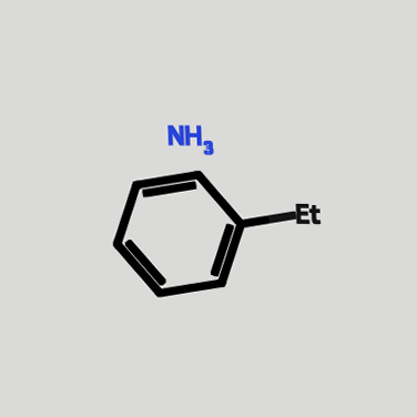 N.[CH2]Cc1ccccc1